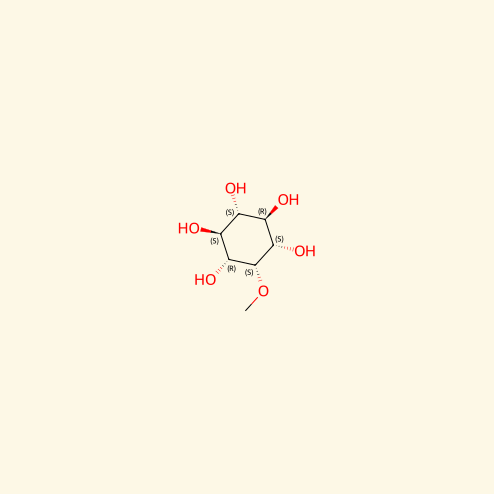 CO[C@@H]1[C@H](O)[C@@H](O)[C@H](O)[C@@H](O)[C@@H]1O